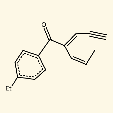 C#C/C=C(\C=C/C)C(=O)c1ccc(CC)cc1